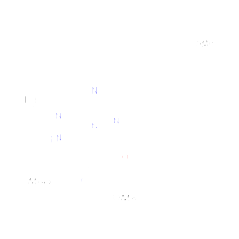 CO/C=C(/C(=O)OC)C1NN(C)c2nc(-c3ccc(OC)cc3)nn21